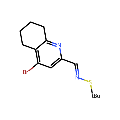 CC(C)(C)SN=Cc1cc(Br)c2c(n1)CCCC2